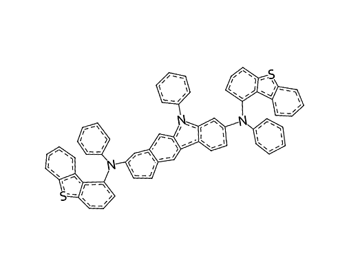 c1ccc(N(c2ccc3cc4c5ccc(N(c6ccccc6)c6cccc7sc8ccccc8c67)cc5n(-c5ccccc5)c4cc3c2)c2cccc3sc4ccccc4c23)cc1